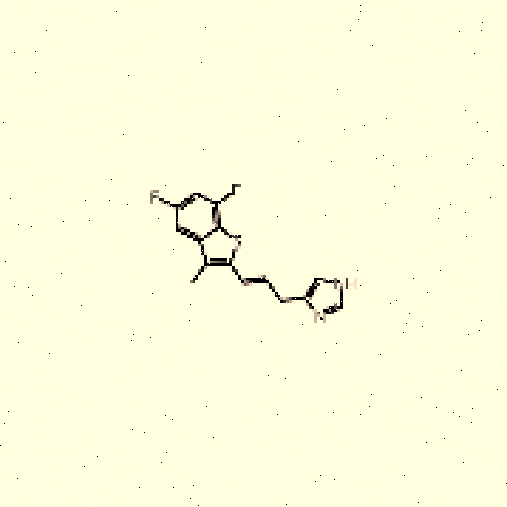 Cc1c(C=CCc2c[nH]cn2)sc2c(F)cc(F)cc12